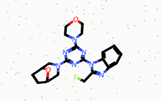 FCc1nc2ccccc2n1-c1nc(N2CCOCC2)nc(N2CC3CCC(C2)O3)n1